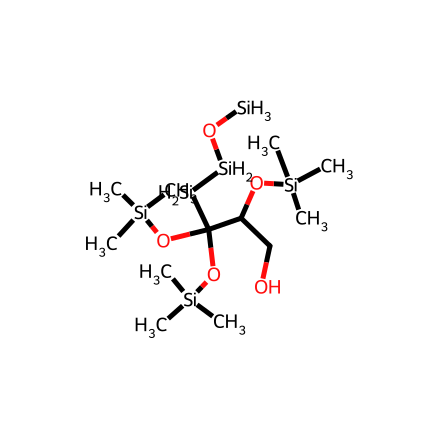 C[Si](C)(C)OC(CO)C(O[Si](C)(C)C)(O[Si](C)(C)C)[SiH2][SiH2]O[SiH3]